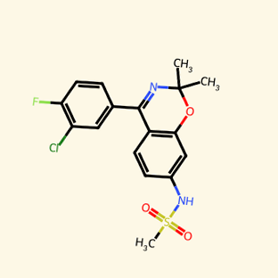 CC1(C)N=C(c2ccc(F)c(Cl)c2)c2ccc(NS(C)(=O)=O)cc2O1